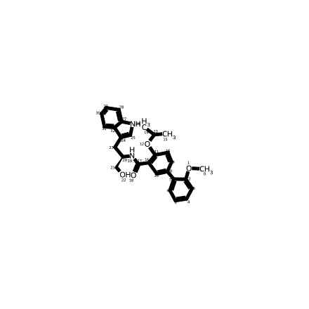 COc1ccccc1-c1ccc(OC(C)C)c(C(=O)N[C@@H](CO)Cc2c[nH]c3ccccc23)c1